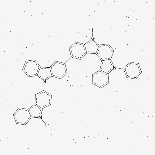 In1c2ccccc2c2cc(-n3c4ccccc4c4cc(-c5ccc6c(c5)c5c7c8ccccc8n(-c8ccccc8)c7ccc5n6I)ccc43)ccc21